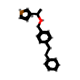 CC(OCc1ccc(CCc2ccccc2)cc1)c1ccsc1